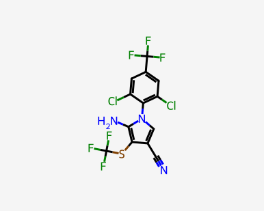 N#Cc1cn(-c2c(Cl)cc(C(F)(F)F)cc2Cl)c(N)c1SC(F)(F)F